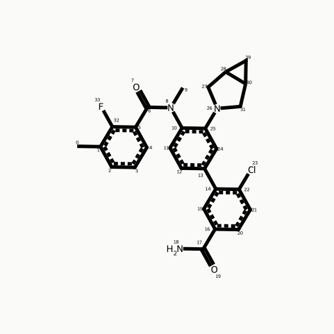 Cc1cccc(C(=O)N(C)c2ccc(-c3cc(C(N)=O)ccc3Cl)cc2N2CC3CC3C2)c1F